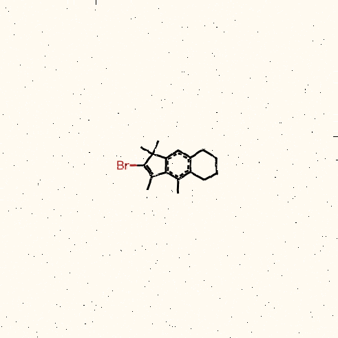 CC1=C(Br)C(C)(C)c2cc3c(c(C)c21)CCCC3